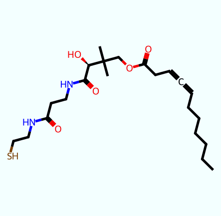 CCCCCCC=C=CCC(=O)OCC(C)(C)[C@H](O)C(=O)NCCC(=O)NCCS